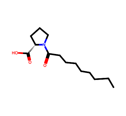 CCCCCCCCC(=O)N1CCC[C@H]1C(=O)O